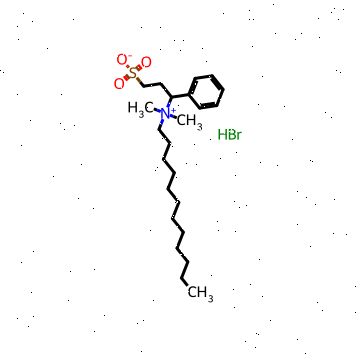 Br.CCCCCCCCCCCC[N+](C)(C)C(CCS(=O)(=O)[O-])c1ccccc1